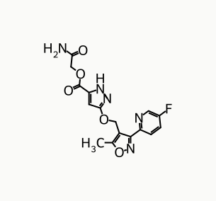 Cc1onc(-c2ccc(F)cn2)c1COc1cc(C(=O)OCC(N)=O)[nH]n1